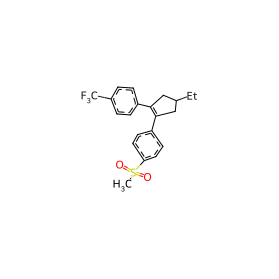 CCC1CC(c2ccc(C(F)(F)F)cc2)=C(c2ccc(S(C)(=O)=O)cc2)C1